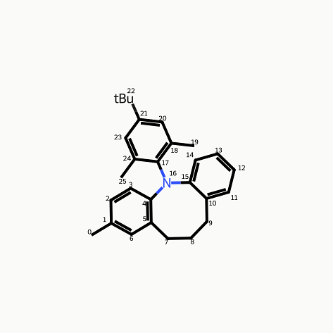 Cc1ccc2c(c1)CCCc1ccccc1N2c1c(C)cc(C(C)(C)C)cc1C